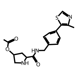 CC(=O)OC1CNC(C(=O)NCc2ccc(-c3scnc3C)cc2)C1